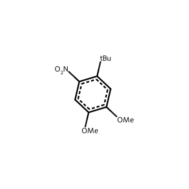 COc1cc([N+](=O)[O-])c(C(C)(C)C)cc1OC